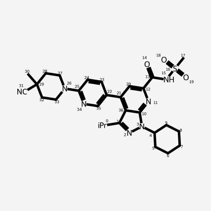 CC(C)c1nn(C2CCCCC2)c2nc(C(=O)NS(C)(=O)=O)cc(-c3ccc(N4CCC(C)(C#N)CC4)nc3)c12